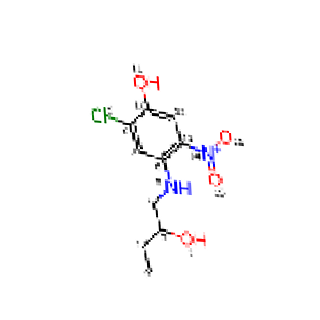 CCC(O)CNc1cc(Cl)c(O)cc1[N+](=O)[O-]